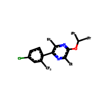 CCc1nc(-c2ccc(Cl)cc2C(F)(F)F)c(CC)nc1OC(C(C)C)C(C)C